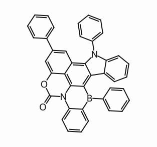 O=C1Oc2cc(-c3ccccc3)cc3c2c2c(c4c5ccccc5n(-c5ccccc5)c34)B(c3ccccc3)c3ccccc3N12